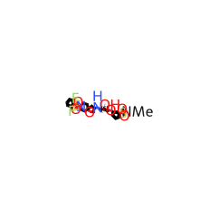 CNS(=O)(=O)c1cccc(OC[C@@H](O)CNC2COC3(CCN(S(=O)(=O)c4c(F)cccc4F)CC3)C2)c1